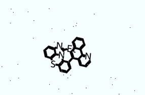 CCc1nc2cccc3c2n1-c1c(cccc1-c1cc2ccccc2c2ncccc12)S3